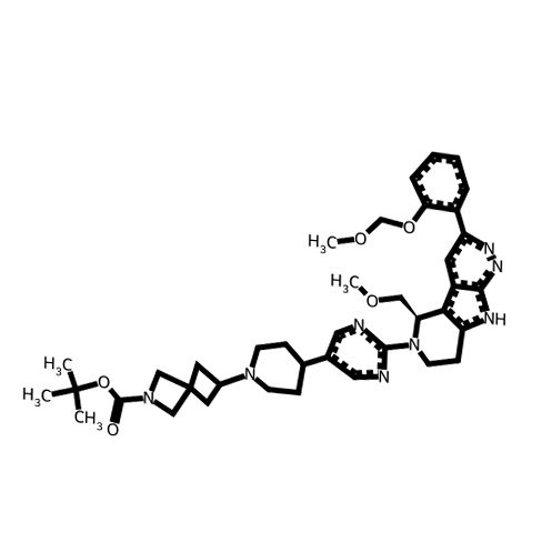 COCOc1ccccc1-c1cc2c3c([nH]c2nn1)CCN(c1ncc(C2CCN(C4CC5(C4)CN(C(=O)OC(C)(C)C)C5)CC2)cn1)[C@H]3COC